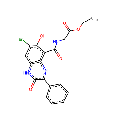 CCOC(=O)CNC(=O)c1c(O)c(Br)cc2[nH]c(=O)c(-c3ccccc3)nc12